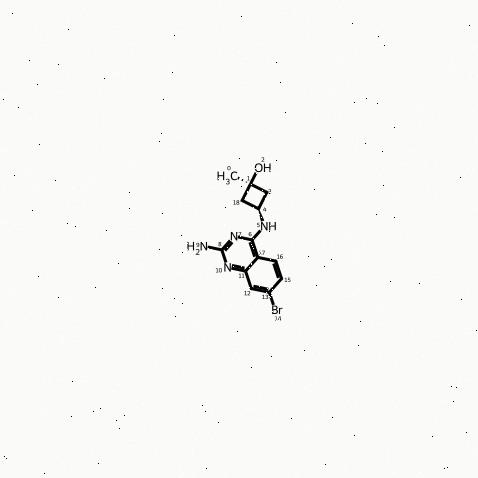 C[C@]1(O)C[C@@H](Nc2nc(N)nc3cc(Br)ccc23)C1